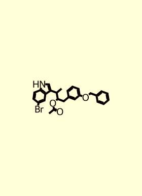 CC(=O)OC(Cc1cccc(OCc2ccccc2)c1)C(C)c1c[nH]c2ccc(Br)cc12